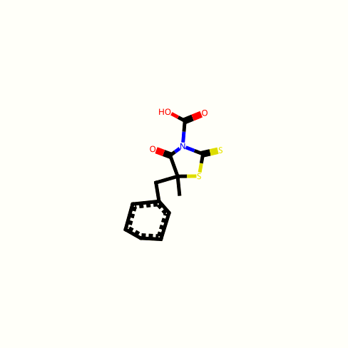 CC1(Cc2ccccc2)SC(=S)N(C(=O)O)C1=O